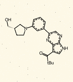 CC(C)(C)C(=O)c1c[nH]c2ncc(-c3cccc(N4CC[C@H](CO)C4)c3)nc12